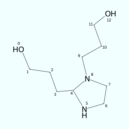 OCCCC1NCCN1CCCO